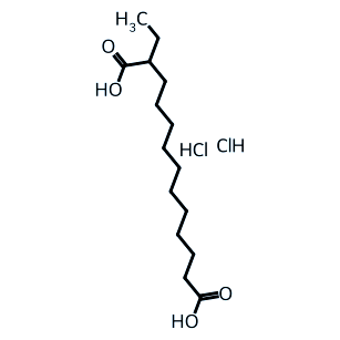 CCC(CCCCCCCCCCC(=O)O)C(=O)O.Cl.Cl